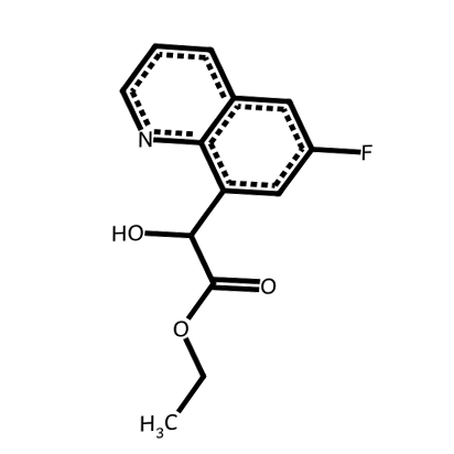 CCOC(=O)C(O)c1cc(F)cc2cccnc12